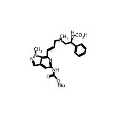 CN(C/C=C/c1nc(NC(=O)OC(C)(C)C)cc2cnn(C)c12)CC(NC(=O)O)c1ccccc1